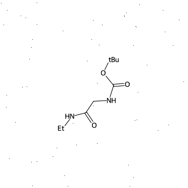 CCNC(=O)CNC(=O)OC(C)(C)C